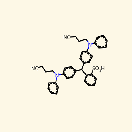 N#CCCCN(c1ccccc1)c1ccc(C(c2ccc(N(CCCC#N)c3ccccc3)cc2)c2ccccc2S(=O)(=O)O)cc1